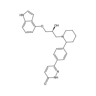 O=c1ccc(-c2ccc(C3CCCCN3C[C@H](O)COc3cccc4[nH]ccc34)cc2)n[nH]1